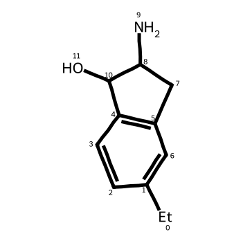 CCc1ccc2c(c1)CC(N)C2O